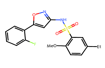 CCc1ccc(OC)c(S(=O)(=O)Nc2cc(-c3ccccc3F)on2)c1